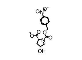 COC(=O)[C@@H]1C[C@@H](O)CN1C(=O)OCc1ccc([N+](=O)[O-])cc1